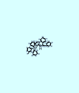 Cc1cccc([Si](Cn2ccnc2BC(=Cc2ccccc2)c2ccccc2)(c2ccccc2)c2ccccc2)c1